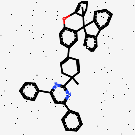 CC1(c2nc(-c3ccccc3)cc(-c3ccccc3)n2)C=CC(c2ccc3c(c2)C2(c4ccccc4-c4ccccc42)C2(C)CC=CC=C2O3)=CC1